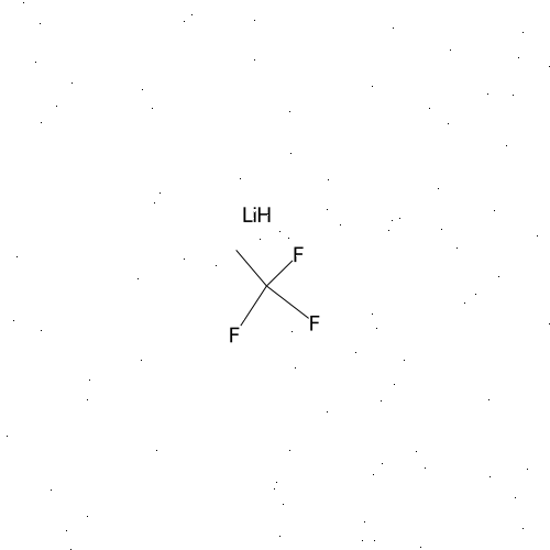 CC(F)(F)F.[LiH]